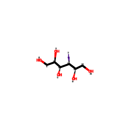 OC[C@@H](O)[C@@H](O)[C@H](I)[C@@H](O)CO